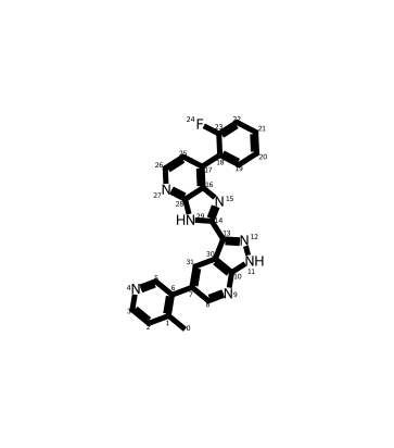 Cc1ccncc1-c1cnc2[nH]nc(-c3nc4c(-c5ccccc5F)ccnc4[nH]3)c2c1